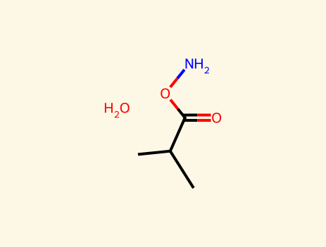 CC(C)C(=O)ON.O